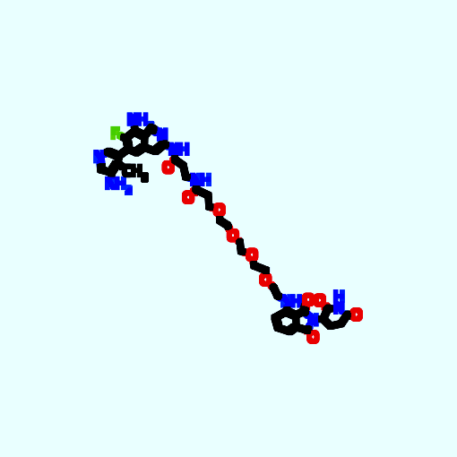 Cc1c(N)cncc1-c1cc2cc(NC(=O)CCNC(=O)CCOCCOCCOCCOCCNc3cccc4c3C(=O)N(C3CCC(=O)NC3=O)C4=O)ncc2c(N)c1F